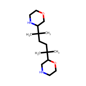 CC(C)(CCC(C)(C)C1CNCCO1)C1COCCN1